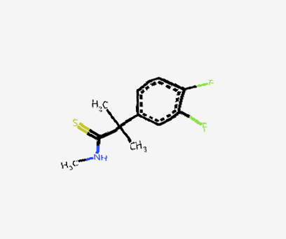 CNC(=S)C(C)(C)c1ccc(F)c(F)c1